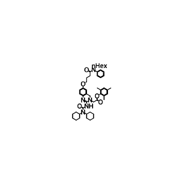 CCCCCCN(C(=O)CCCOc1ccc2c(c1)CN(CC(=O)Oc1c(C)cc(C)cc1C)C(NC(=O)N(C1CCCCC1)C1CCCCC1)=N2)c1ccccc1